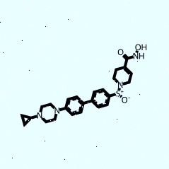 O=C(NO)C1=CCN([S+]([O-])c2ccc(-c3ccc(N4CCN(C5CC5)CC4)cc3)cc2)CC1